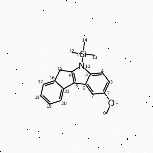 COc1ccc2c(c1)c1c(n2[Si](C)(C)C)Cc2ccccc2-1